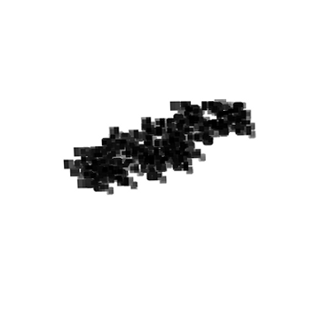 CC[C@H](C)[C@H](NC(=O)[C@H](CCCNC(=N)N)NC(=O)[C@H](CCCCN)NC(=O)[C@H](C)NC(=O)[C@H](C)NC(=O)[C@H](CCC(N)=O)NC(=O)[C@H](CO)NC(=O)[C@@H](NC(=O)[C@@H](NC(=O)[C@@H](N)CC(N)=O)[C@@H](C)O)[C@@H](C)CC)C(=O)N[C@@H](CC(C)C)C(=O)N[C@H](C(=O)N[C@H](C(=O)NCC(=O)N[C@H](C(=O)N[C@@H](CC(N)=O)C(=O)NCC(=O)N[C@@H](CCC(=O)O)C(=O)N[C@@H](CC(C)C)C(=O)N[C@@H](Cc1c[nH]cn1)C(=O)O)C(C)C)C(C)C)[C@@H](C)O